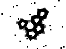 c1ccc2c(c1)ccc1c3c(ccc12)CCCC3N1CCCC1